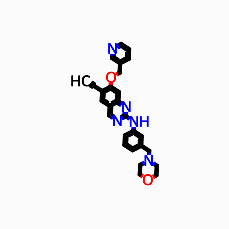 C#Cc1cc2cnc(Nc3cccc(CN4CCOCC4)c3)nc2cc1OCc1cccnc1